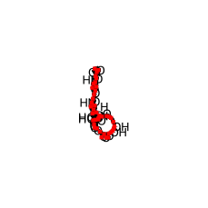 CO[C@H]1/C=C/O[C@@]2(C)Oc3c(C)c(O)c4c(=O)c(c5oc6cc(N7CCC(NC(=O)CCCOc8ccc(/C(C)=N/NC(=O)CCN9C(=O)C=CC9=O)cc8)CC7)cc(O)c6nc-5c4c3C2=O)NC(=O)/C(C)=C\C=C\[C@H](C)[C@H](O)[C@@H](C)[C@@H](O)[C@@H](C)[C@H](OC(C)=O)[C@@H]1C